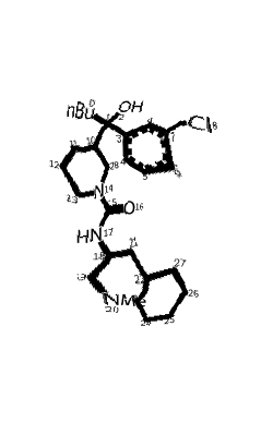 CCCCC(O)(c1cccc(Cl)c1)C1CCCN(C(=O)NC(CNC)CC2CCCCC2)C1